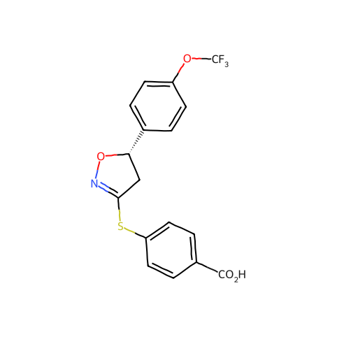 O=C(O)c1ccc(SC2=NO[C@H](c3ccc(OC(F)(F)F)cc3)C2)cc1